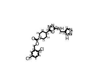 O=C(OCc1cc(Cl)ccc1Cl)N1CCC(c2nnc(NCc3cnn[nH]3)o2)CC1